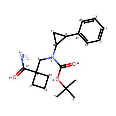 CC(C)(C)OC(=O)N(CC1(C(N)=O)CCC1)C1CC1c1ccccc1